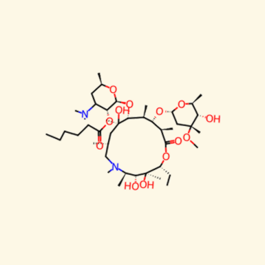 CCCCCC(=O)O[C@@H]1C(N(C)C)C[C@@H](C)O[C@H]1O[C@@H]1[C@@H](C)[C@H](O[C@H]2C[C@@](C)(OC)[C@@H](O)[C@H](C)O2)[C@@H](C)C(=O)O[C@H](CC)[C@@](C)(O)[C@H](O)[C@@H](C)N(C)C[C@H](C)C[C@@]1(C)O